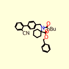 CCCCC(=O)N(Cc1ccc(-c2ccccc2C#N)cc1)C1(C(=O)OCc2ccccc2)CCCCC1